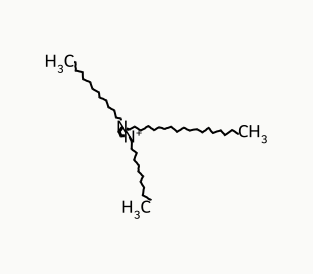 CCCCCCCCCCCCCCCCCCCc1n(CCCCCCCCCCCCCC)cc[n+]1CCCCCCCCCCCC